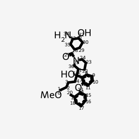 COCCCC[C@@](O)(c1ccccc1Oc1ccccc1C)[C@@H]1CCCN(C(=O)[C@H]2CC[C@H](O)[C@H](N)C2)C1